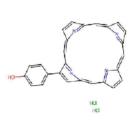 Cl.Cl.Oc1ccc(C2=CC3=CC4=NC(=CC5=NC(=CC6=NC(=CC2=N3)C=C6)C=C5)C=C4)cc1